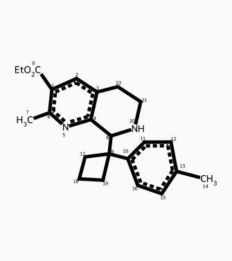 CCOC(=O)c1cc2c(nc1C)C(C1(c3ccc(C)cc3)CCC1)NCC2